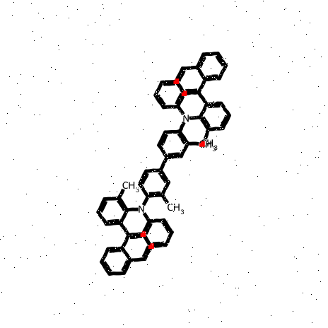 Cc1cc(-c2ccc(N(c3ccccc3)c3c(C)cccc3-c3cccc4ccccc34)c(C)c2)ccc1N(c1ccccc1)c1c(C)cccc1-c1cccc2ccccc12